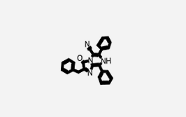 N#Cc1c(-c2ccccc2)[nH]c(-c2ccccc2)c2nc(Cc3ccccc3)c(=O)n1-2